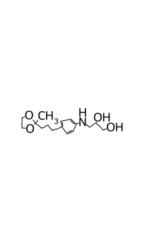 CC1(CCCc2ccc(NCC(O)CO)cc2)OCCO1